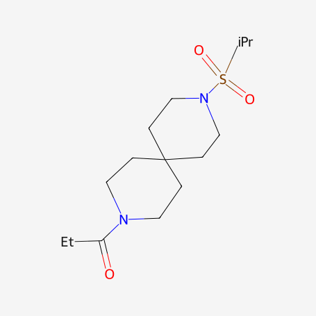 CCC(=O)N1CCC2(CC1)CCN(S(=O)(=O)C(C)C)CC2